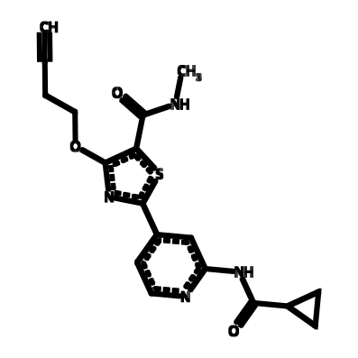 C#CCCOc1nc(-c2ccnc(NC(=O)C3CC3)c2)sc1C(=O)NC